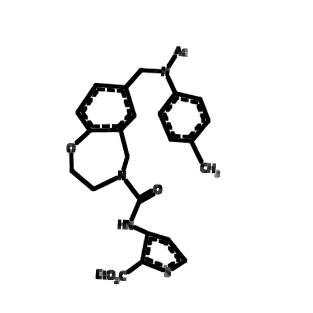 CCOC(=O)c1sccc1NC(=O)N1CCOc2ccc(CN(C(C)=O)c3ccc(C)cc3)cc2C1